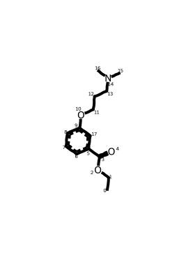 CCOC(=O)c1cccc(OCCCN(C)C)c1